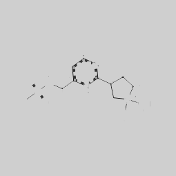 CS(=O)(=O)OCc1ccnc(C2CCS(O)(O)C2)n1